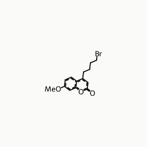 COc1ccc2c(CCCCBr)cc(=O)oc2c1